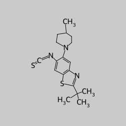 CC1CCN(c2cc3nc(C(C)(C)C)sc3cc2N=C=S)CC1